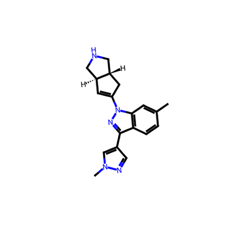 Cc1ccc2c(-c3cnn(C)c3)nn(C3=C[C@H]4CNC[C@@H]4C3)c2c1